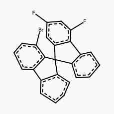 Fc1cc(F)c2c(c1)C1(c3ccccc3-c3cccc(Br)c31)c1ccccc1-2